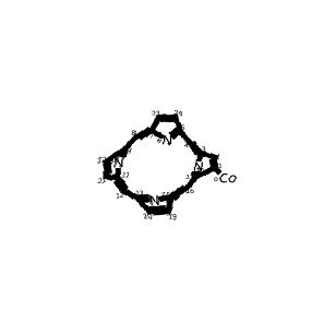 [Co][C]1=CC2=CC3=NC(=CC4=NC(=CC5=NC(=CC1=N2)C=C5)C=C4)C=C3